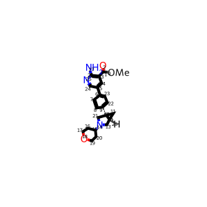 COC(=O)c1cc(-c2ccc([C@]34C[C@H]3CN(C3CCOCC3)C4)cc2)cnc1N